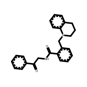 O=C(CNC(=O)c1ccccc1CN1CCCc2ccccc21)c1ccccc1